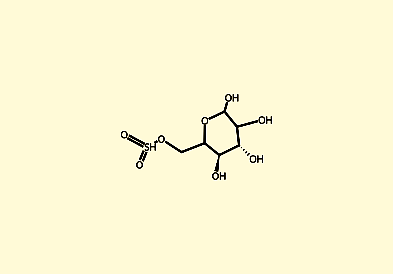 O=[SH](=O)OCC1OC(O)C(O)[C@H](O)[C@H]1O